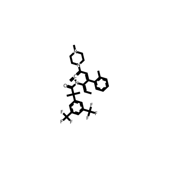 C=C=C(/C=C(\C(=C/C)N(C)C(=O)C(C)(C)c1cc(C(F)(F)F)cc(C(F)(F)F)c1)c1ccccc1C)N1CCN(C)CC1